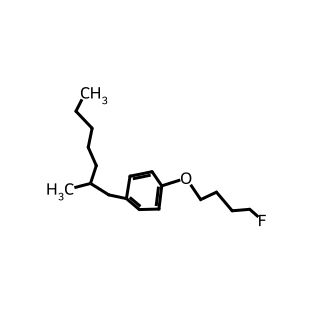 CCCCCC(C)Cc1ccc(OCCCCF)cc1